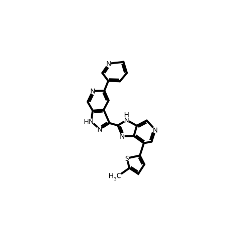 Cc1ccc(-c2cncc3[nH]c(-c4n[nH]c5cnc(-c6cccnc6)cc45)nc23)s1